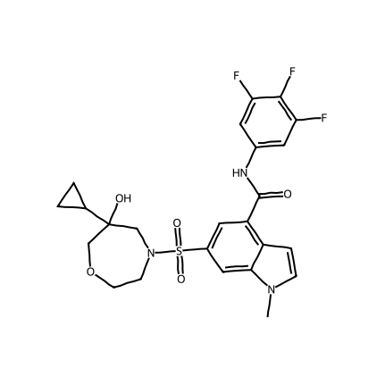 Cn1ccc2c(C(=O)Nc3cc(F)c(F)c(F)c3)cc(S(=O)(=O)N3CCOCC(O)(C4CC4)C3)cc21